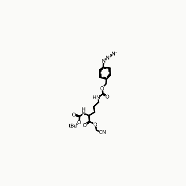 CC(C)(C)OC(=O)NC(CCCNC(=O)OCc1ccc(N=[N+]=[N-])cc1)C(=O)OCC#N